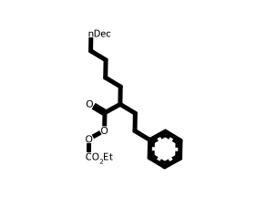 CCCCCCCCCCCCCCC(CCc1ccccc1)C(=O)OOC(=O)OCC